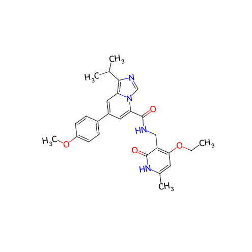 CCOc1cc(C)[nH]c(=O)c1CNC(=O)c1cc(-c2ccc(OC)cc2)cc2c(C(C)C)ncn12